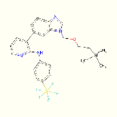 C[Si](C)(C)CCOCn1cnc2ccc(-c3cccnc3Nc3ccc(S(F)(F)(F)(F)F)cc3)cc21